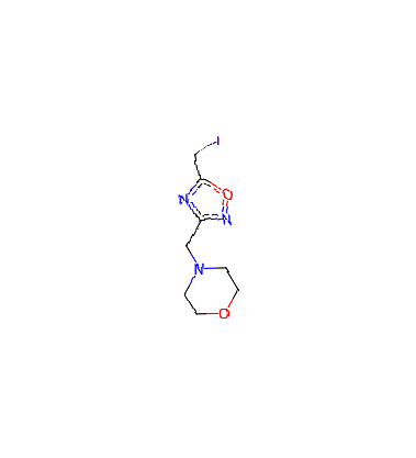 ICc1nc(CN2CCOCC2)no1